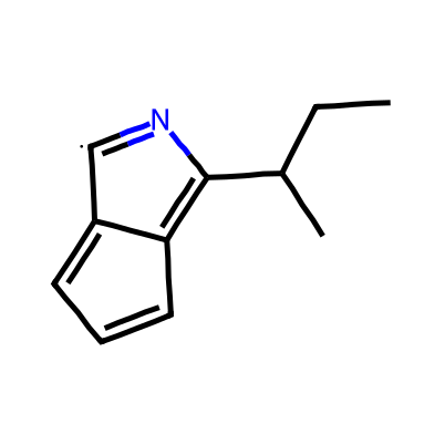 CCC(C)C1=C2C=CC=C2[C]=N1